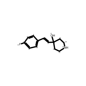 OC1(C=Cc2ccc(F)cc2)CCNCC1